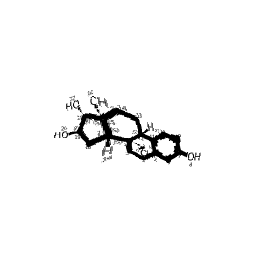 C=C[C@@]12CCc3cc(O)ccc3[C@H]1CC[C@@]1(C)[C@H]2C[C@@H](O)[C@@H]1O